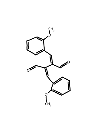 COc1ccccc1/C=C(C=O)\C(C=O)=C/c1ccccc1OC